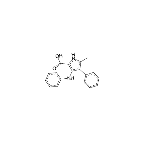 Cc1[nH]c(C(=O)O)c(Nc2ccccc2)c1-c1ccccc1